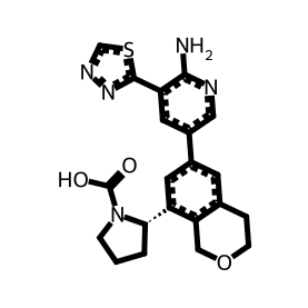 Nc1ncc(-c2cc3c(c([C@@H]4CCCN4C(=O)O)c2)COCC3)cc1-c1nncs1